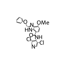 COc1ccc(C(=O)Nc2c(Cl)cncc2Cl)c2[nH]c(COc3ccccc3)nc12